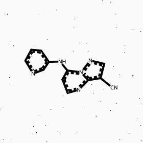 N#Cc1cnn2c(Nc3cccnc3)ccnc12